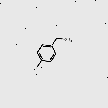 [SiH3]Cc1ccc(I)cc1